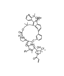 C=CC(=O)N1C[C@H](C(F)(F)F)[C@](O)(C(=O)N(C)[C@H](C(=O)N[C@H]2Cc3cccc(c3)-c3ccc4c(c3)c(c(-c3cccnc3[C@H](C)OC)n4CC)CC(C)(C)COC(=O)[C@@H]3CCCN(N3)C2=O)C(C)C)C1